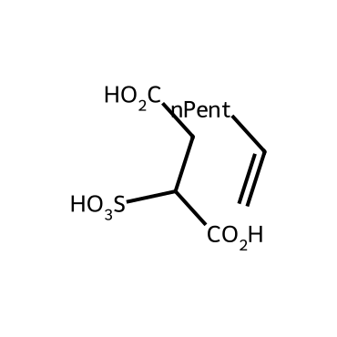 C=CCCCCC.O=C(O)CC(C(=O)O)S(=O)(=O)O